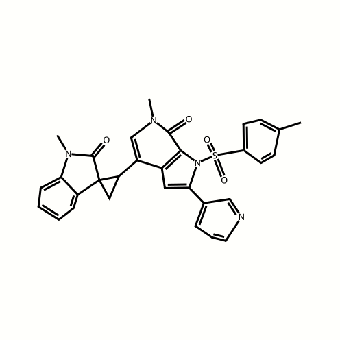 Cc1ccc(S(=O)(=O)n2c(-c3cccnc3)cc3c(C4CC45C(=O)N(C)c4ccccc45)cn(C)c(=O)c32)cc1